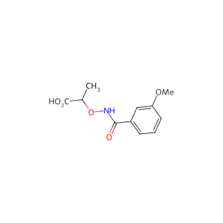 COc1cccc(C(=O)NOC(C)C(=O)O)c1